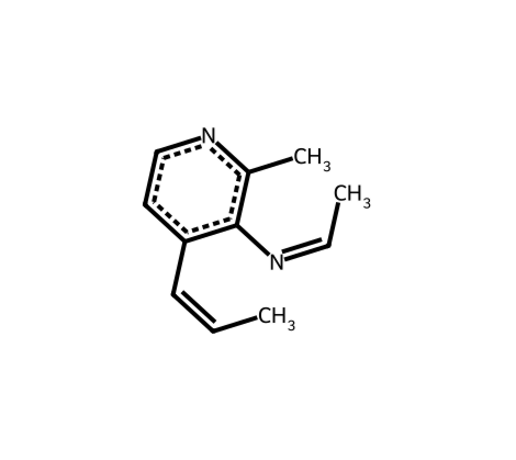 C/C=C\c1ccnc(C)c1/N=C\C